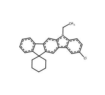 CCn1c2ccc(Cl)cc2c2cc3c(cc21)-c1ccccc1C31CCCCC1